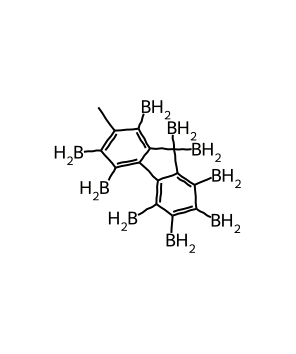 Bc1c(B)c(B)c2c(c1B)-c1c(B)c(B)c(C)c(B)c1C2(B)B